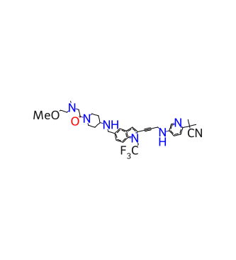 COCCN(C)CC(=O)N1CCC(NCc2ccc3c(c2)cc(C#CCNc2ccc(C(C)(C)C#N)nc2)n3CC(F)(F)F)CC1